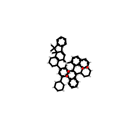 CC12C=C3c4ccccc4C(C)(C)C3(C)C3=C1C(CCC3)c1cc(C3CCCCC3)ccc1N2c1ccc2ccccc2c1-c1ccc2ccccc2c1C1CCCCC1